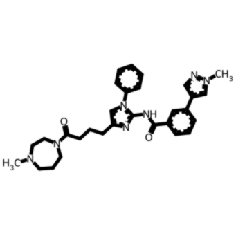 CN1CCCN(C(=O)CCCc2cn(-c3ccccc3)c(NC(=O)c3cccc(-c4cnn(C)c4)c3)n2)CC1